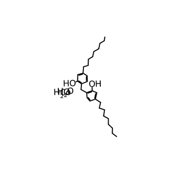 CCCCCCCCCc1ccc(Cc2ccc(CCCCCCCCC)cc2O)c(O)c1.O.O.[Co]